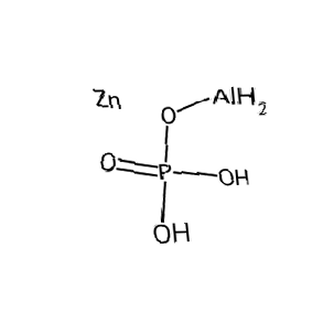 O=P(O)(O)[O][AlH2].[Zn]